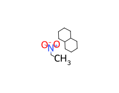 C1CCC2CCCCC2C1.CC[N+](=O)[O-]